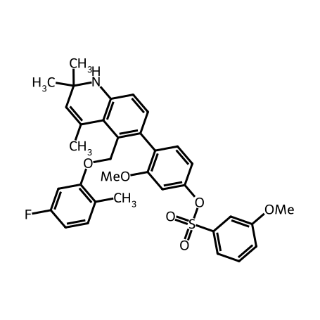 COc1cccc(S(=O)(=O)Oc2ccc(-c3ccc4c(c3COc3cc(F)ccc3C)C(C)=CC(C)(C)N4)c(OC)c2)c1